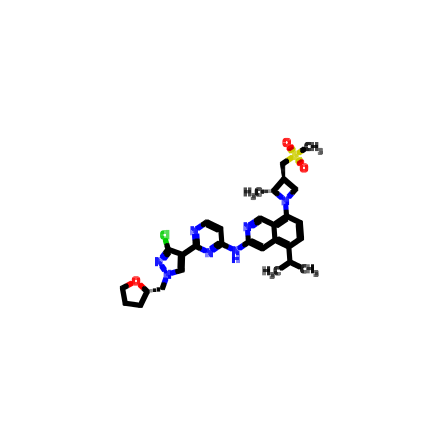 CC(C)c1ccc(N2C[C@H](CS(C)(=O)=O)[C@H]2C)c2cnc(Nc3ccnc(-c4cn(C[C@@H]5CCCO5)nc4Cl)n3)cc12